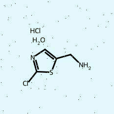 Cl.NCc1cnc(Cl)s1.O